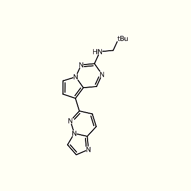 CC(C)(C)CNc1ncc2c(-c3ccc4nccn4n3)ccn2n1